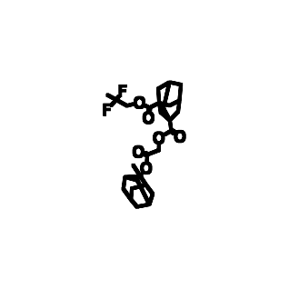 CC(F)(F)COC(=O)C12CC3CC(CC(C(=O)OCC(=O)OC4(C)C5CC6CC(C5)CC4C6)(C3)C1)C2